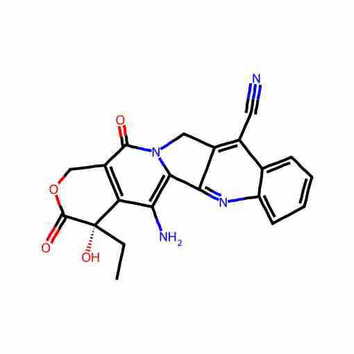 CC[C@@]1(O)C(=O)OCc2c1c(N)c1n(c2=O)Cc2c-1nc1ccccc1c2C#N